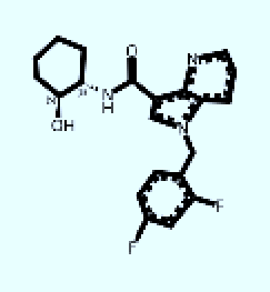 O=C(N[C@H]1CCCC[C@@H]1O)c1cn(Cc2ccc(F)cc2F)c2cccnc12